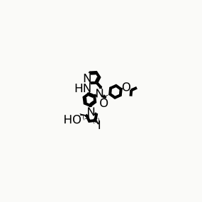 CC(C)O[C@H]1CC[C@H](C(=O)N2Cc3cccnc3Nc3ccc(N4C[C@@H](I)C[C@H]4CO)cc32)CC1